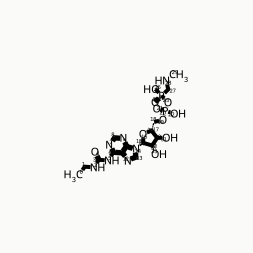 CCNC(=O)Nc1ncnc2c1ncn2[C@@H]1O[C@H](COP(=O)(O)OP(=O)(O)CNC)C(O)[C@@H]1O